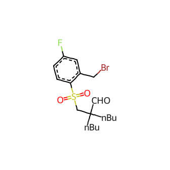 CCCCC(C=O)(CCCC)CS(=O)(=O)c1ccc(F)cc1CBr